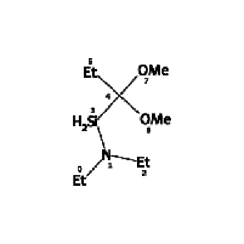 CCN(CC)[SiH2]C(CC)(OC)OC